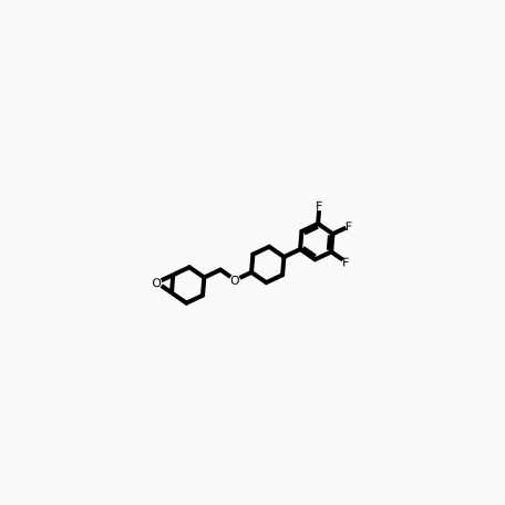 Fc1cc(C2CCC(OCC3CCC4OC4C3)CC2)cc(F)c1F